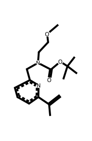 C=C(C)c1cccc(CN(CCOC)C(=O)OC(C)(C)C)n1